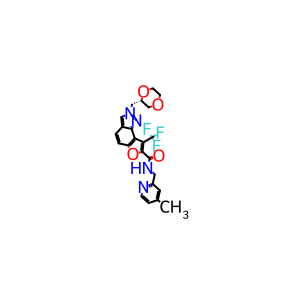 Cc1ccnc(CNC(=O)c2oc3ccc4cn(C[C@H]5COCCO5)nc4c3c2C(F)(F)F)c1